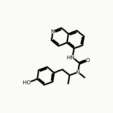 CC(Cc1ccc(O)cc1)N(C)C(=O)Nc1cccc2cnccc12